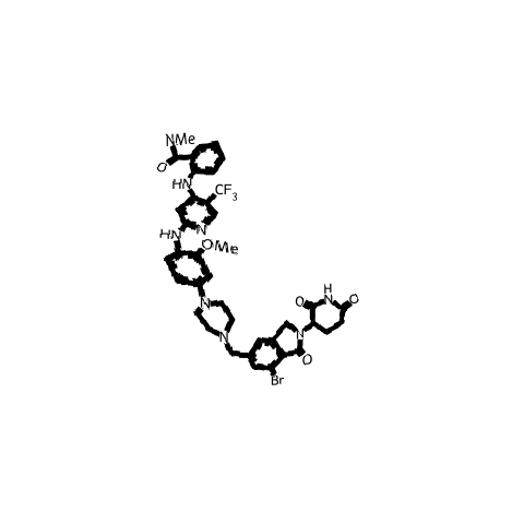 CNC(=O)c1ccccc1Nc1cc(Nc2ccc(N3CCN(Cc4cc(Br)c5c(c4)CN(C4CCC(=O)NC4=O)C5=O)CC3)cc2OC)ncc1C(F)(F)F